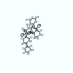 Cc1cc(C)cc(-n2c(C(C)N(C)S(=O)(=O)c3ccc(-c4ccccc4)cc3)nc3ccccc3c2=O)c1